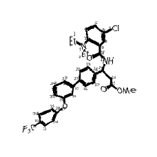 CCN(CC)c1ccc(Cl)cc1C(=O)NC(CC(=O)OC)c1ccc(-c2cccc(Oc3ccc(C(F)(F)F)cc3)c2)cc1